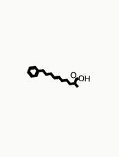 CC(CCCC=CCCCc1ccccc1)C(=O)O